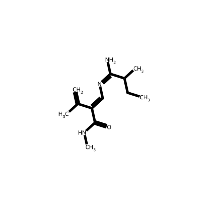 C=C(C)/C(=C\N=C(\N)C(C)CC)C(=O)NC